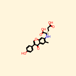 Cc1cc2c(=O)c(-c3ccc(O)cc3)coc2cc1N[C@@H](CCC(=O)O)C(=O)O